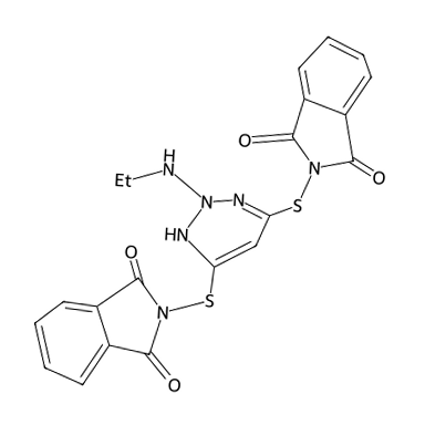 CCNN1N=C(SN2C(=O)c3ccccc3C2=O)C=C(SN2C(=O)c3ccccc3C2=O)N1